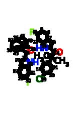 CC(C)(C(=O)c1cc2ccc(F)cc2[nH]1)c1ccc(Cl)cc1.O=C(c1cc2ccc(F)cc2[nH]1)C12CC3CC(CC(C3)C1)C2